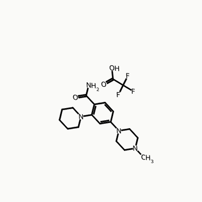 CN1CCN(c2ccc(C(N)=O)c(N3CCCCC3)c2)CC1.O=C(O)C(F)(F)F